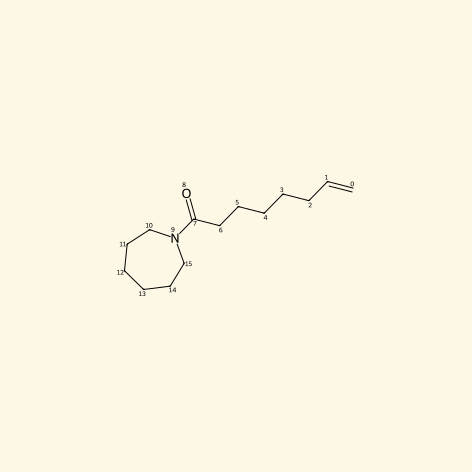 C=CCCCCCC(=O)N1CCCCCC1